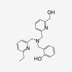 CCc1cccc(CN(Cc2cccc(CO)n2)Cc2ccccc2O)n1